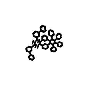 c1ccc(-c2cccc(-c3nc(-c4cccc(-c5ccccc5)c4)nc(-c4cccc(-c5c(-c6ccccc6)c(-c6ccccc6)c(-c6ccccc6)c(-c6ccccc6)c5-c5ccccc5)c4)n3)c2)cc1